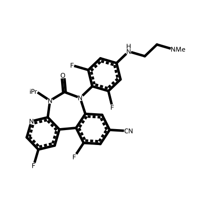 CNCCNc1cc(F)c(N2C(=O)N(C(C)C)c3ncc(F)cc3-c3c(F)cc(C#N)cc32)c(F)c1